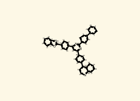 c1ccc(-c2ccc(-c3nc(-c4ccc(-c5nc6ccccc6o5)cc4)cc(-c4ccc(-c5ccnc6ccccc56)cc4)n3)cc2)cc1